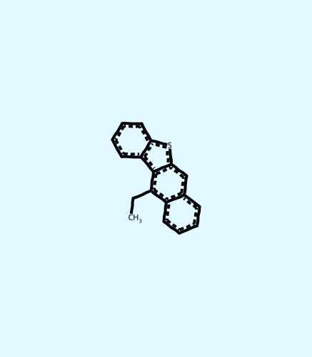 CCc1c2ccccc2cc2sc3ccccc3c12